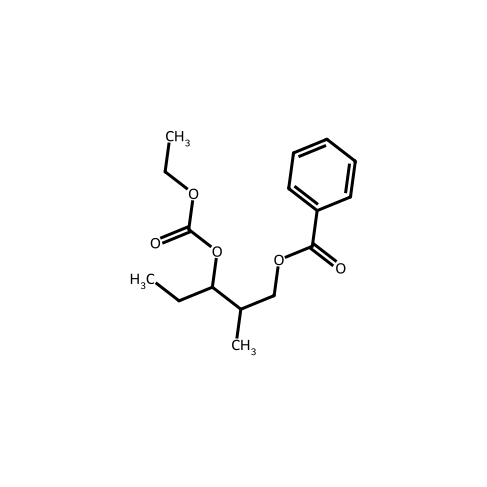 CCOC(=O)OC(CC)C(C)COC(=O)c1ccccc1